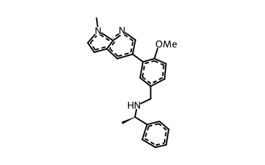 COc1ccc(CN[C@H](C)c2ccccc2)cc1-c1cnc2c(ccn2C)c1